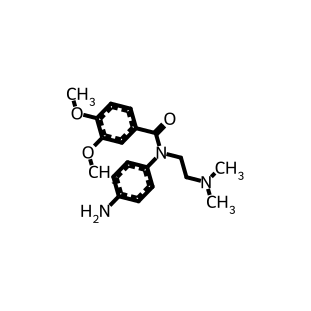 COc1ccc(C(=O)N(CCN(C)C)c2ccc(N)cc2)cc1OC